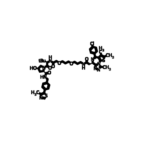 Cc1ncsc1-c1ccc(CNC(=O)[C@@H]2C[C@@H](O)CN2C(=O)[C@@H](NC(=O)COCCCOCCCNC(=O)C[C@@H]2N=C(c3ccc(Cl)cc3)c3c(sc(C)c3C)-n3c(C)nnc32)C(C)(C)C)cc1